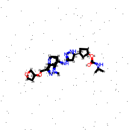 CC(C)NC(=O)O[C@@H]1CC[C@H](C2CC(Nc3ccnc4c(COC5CCOC5)nn(C)c34)=NN2)C1